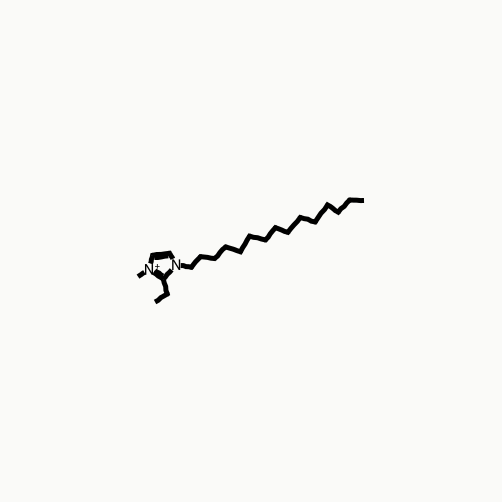 CCCCCCCCCCCCCCCn1cc[n+](C)c1CC